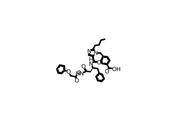 CCCCc1ncc(C(=O)N[C@H](CC(=O)NOC(=O)COc2ccccc2)Cc2ccccc2)n1Cc1ccc(C(=O)O)cc1